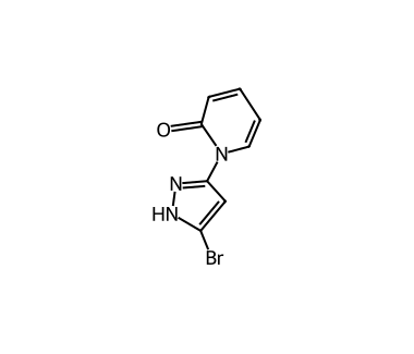 O=c1ccccn1-c1cc(Br)[nH]n1